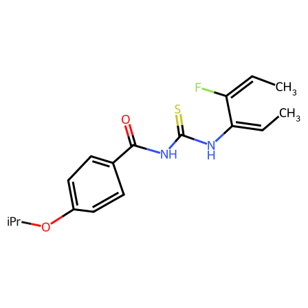 C/C=C(F)\C(=C/C)NC(=S)NC(=O)c1ccc(OC(C)C)cc1